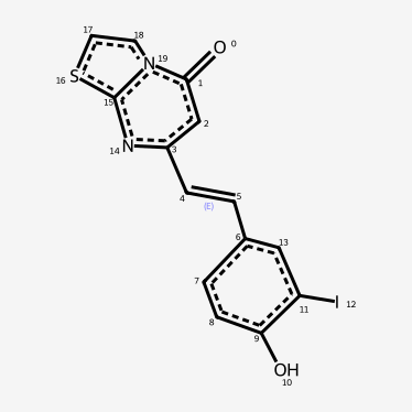 O=c1cc(/C=C/c2ccc(O)c(I)c2)nc2sccn12